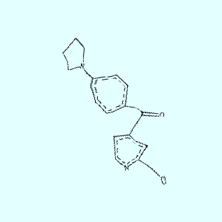 O=C(c1ccc(N2CCCC2)cc1)c1ccnc(Cl)c1